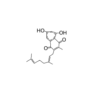 CC(C)=CCC/C(C)=C/CC1=C(C)C(=O)c2c(O)cc(O)cc2C1=O